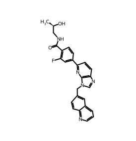 C[C@@H](O)CNC(=O)c1ccc(-c2ccc3ncn(Cc4ccc5ncccc5c4)c3n2)cc1F